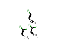 C=CC(F)F.CC=C(F)F.CC=CF